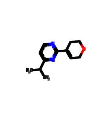 CC(C)c1ccnc(C2=CCOCC2)n1